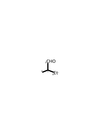 C[CH]C(C)C=O